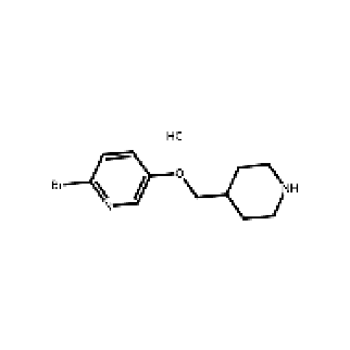 Brc1ccc(OCC2CCNCC2)cn1.Cl